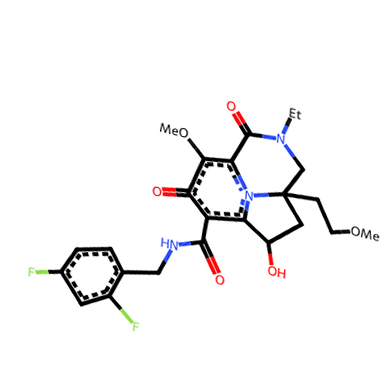 CCN1CC2(CCOC)CC(O)c3c(C(=O)NCc4ccc(F)cc4F)c(=O)c(OC)c(n32)C1=O